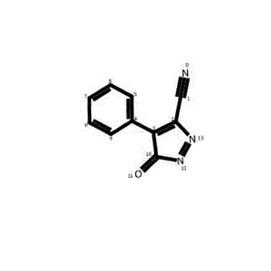 N#CC1=C(c2ccccc2)C(=O)N=N1